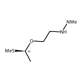 CNNCCO[C@@H](C)SC